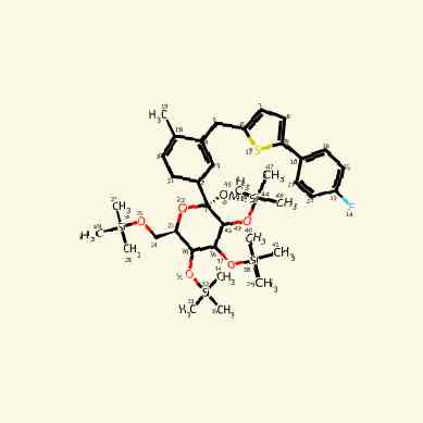 CO[C@@]1(C2C=C(Cc3ccc(-c4ccc(F)cc4)s3)C(C)=CC2)O[C@H](CO[Si](C)(C)C)C(O[Si](C)(C)C)C(O[Si](C)(C)C)C1O[Si](C)(C)C